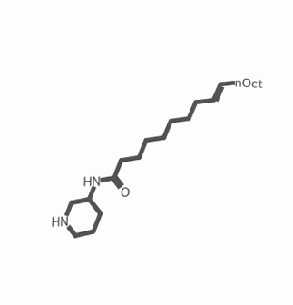 CCCCCCCCC=CCCCCCCCC(=O)NC1CCCNC1